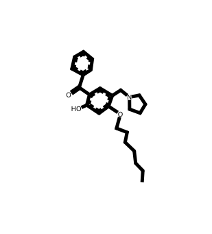 CCCCCCCOc1cc(O)c(C(=O)c2ccccc2)cc1CN1CCCC1